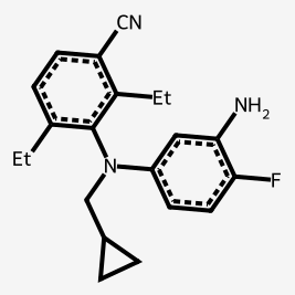 CCc1ccc(C#N)c(CC)c1N(CC1CC1)c1ccc(F)c(N)c1